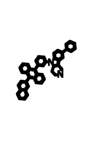 C1=NCCc2c1c1cc(-c3ccccc3)ccc1n2-c1cccc(-c2c3ccccc3c(-c3ccc4ccccc4c3)c3ccccc23)c1